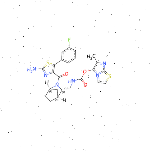 Cc1nc2sccn2c1OC(=O)NC[C@@H]1[C@H]2CC[C@H](C2)N1C(=O)c1nc(N)sc1-c1cccc(F)c1